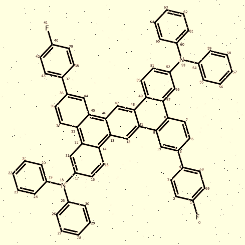 Fc1ccc(-c2ccc3c(c2)c2cc4c5ccc(N(c6ccccc6)c6ccccc6)cc5c5ccc(-c6ccc(F)cc6)cc5c4cc2c2ccc(N(c4ccccc4)c4ccccc4)cc32)cc1